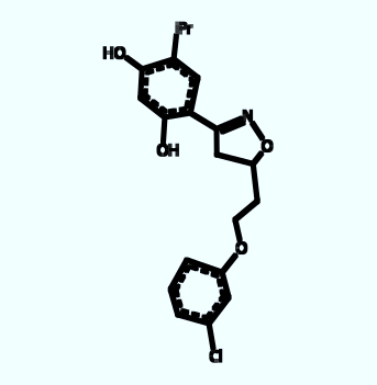 CC(C)c1cc(C2=NOC(CCOc3cccc(Cl)c3)C2)c(O)cc1O